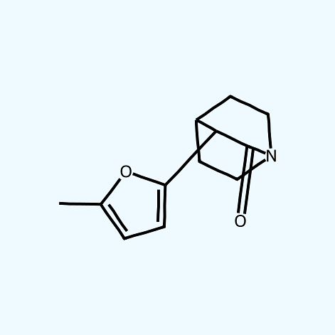 Cc1ccc(C2C(=O)N3CCC2CC3)o1